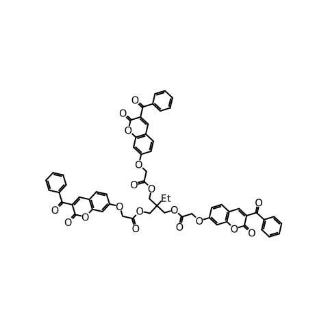 CCC(COC(=O)COc1ccc2cc(C(=O)c3ccccc3)c(=O)oc2c1)(COC(=O)COc1ccc2cc(C(=O)c3ccccc3)c(=O)oc2c1)COC(=O)COc1ccc2cc(C(=O)c3ccccc3)c(=O)oc2c1